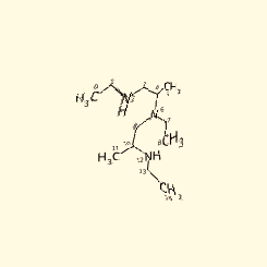 CCNCC(C)N(CC)CC(C)NCC